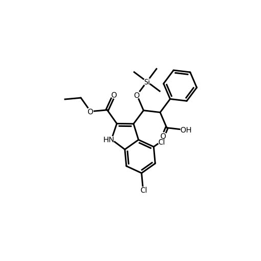 CCOC(=O)c1[nH]c2cc(Cl)cc(Cl)c2c1C(O[Si](C)(C)C)C(C(=O)O)c1ccccc1